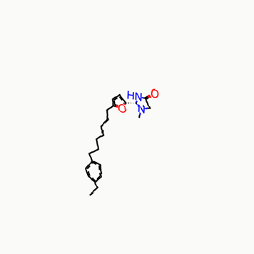 CCc1ccc(CCCCCCCc2ccc([C@@H]3NC(=O)CN3C)o2)cc1